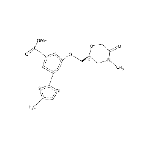 COC(=O)c1cc(OC[C@@H]2CN(C)C(=O)CO2)cc(-c2ncc(C)s2)c1